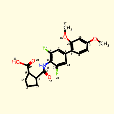 COc1ccc(-c2cc(F)c(NC(=O)C3CCCC3C(=O)O)c(F)c2)c(OC)c1